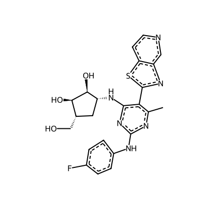 Cc1nc(Nc2ccc(F)cc2)nc(N[C@@H]2C[C@H](CO)[C@@H](O)[C@H]2O)c1-c1nc2cnccc2s1